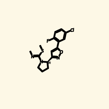 CN=C(SC)N1CCC[C@@H]1c1cc(-c2cc(Cl)ccc2F)on1